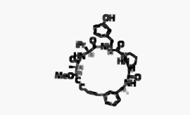 CO[C@@H]1CCC=Cc2cccc(c2)[C@@H](C)NC(=O)[C@@H]2CCCN(N2)C(=O)[C@H](Cc2cccc(O)c2)NC(=O)[C@H](C(C)C)NC(=O)[C@@H]1C